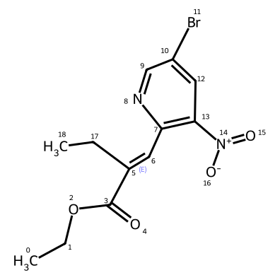 CCOC(=O)/C(=C/c1ncc(Br)cc1[N+](=O)[O-])CC